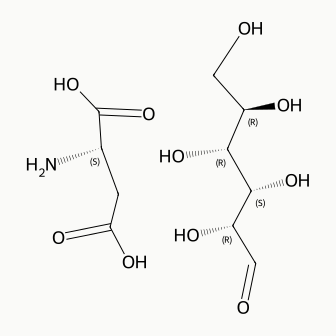 N[C@@H](CC(=O)O)C(=O)O.O=C[C@H](O)[C@@H](O)[C@H](O)[C@H](O)CO